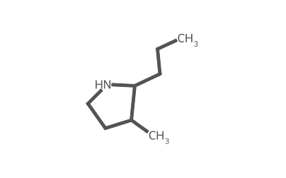 CCCC1NCCC1C